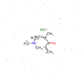 C=CC(=O)C(=C)C.CN(C)C.Cl